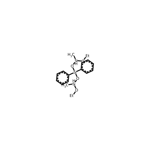 CCO[SiH](C)O[Si](O[SiH](C)OCC)(c1ccccc1)c1ccccc1